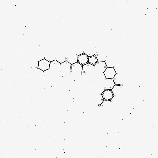 Cc1c(C(=O)NCCN2CCOCC2)ccc2nn(CC3CCN(C(=O)c4ccc(Cl)cc4)CC3)cc12